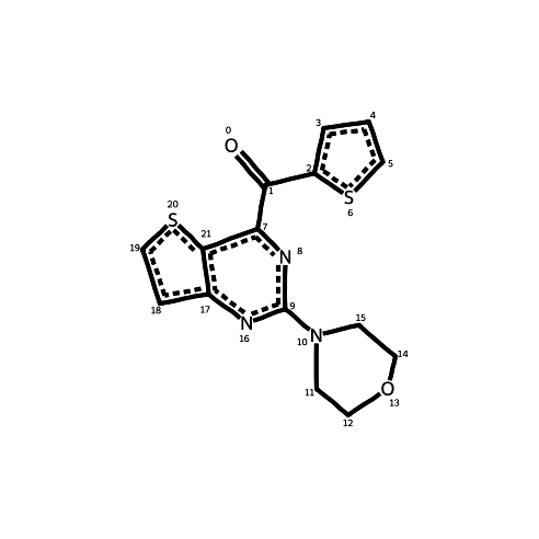 O=C(c1cccs1)c1nc(N2CCOCC2)nc2ccsc12